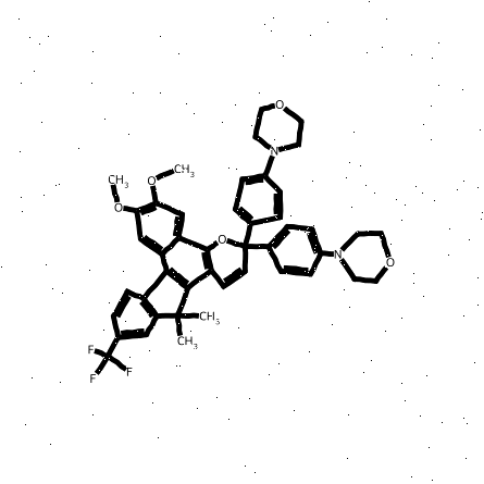 COc1cc2c3c(c4c(c2cc1OC)-c1ccc(C(F)(F)F)cc1C4(C)C)C=CC(c1ccc(N2CCOCC2)cc1)(c1ccc(N2CCOCC2)cc1)O3